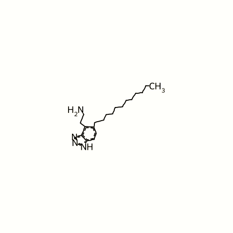 CCCCCCCCCCCCc1ccc2[nH]nnc2c1CCN